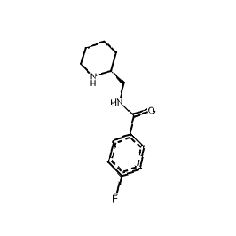 O=C(NC[C@@H]1CCCCN1)c1ccc(F)cc1